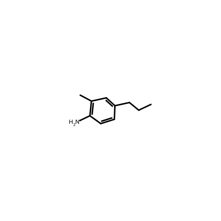 CCCc1ccc(N)c(C)c1